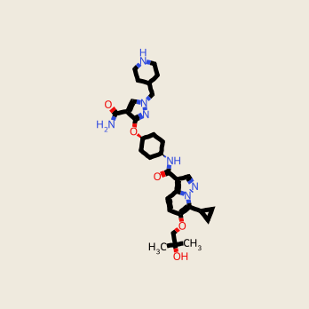 CC(C)(O)COc1ccc2c(C(=O)N[C@H]3CC[C@H](Oc4nn(CC5CCNCC5)cc4C(N)=O)CC3)cnn2c1C1CC1